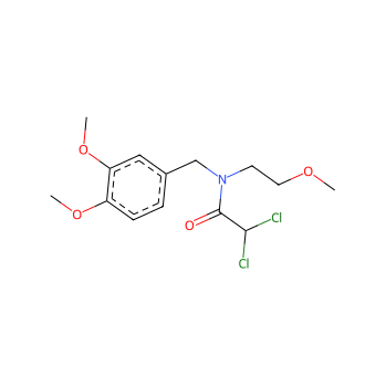 COCCN(Cc1ccc(OC)c(OC)c1)C(=O)C(Cl)Cl